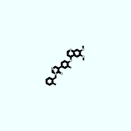 COc1cc2nccc(Oc3ccc(-c4cncn(Cc5ccccc5C)c4=O)cc3F)c2cc1OC